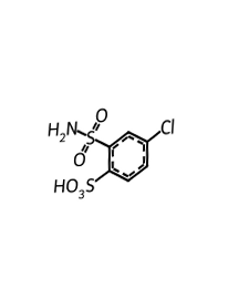 NS(=O)(=O)c1cc(Cl)ccc1S(=O)(=O)O